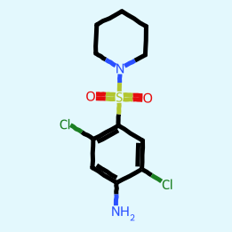 Nc1cc(Cl)c(S(=O)(=O)N2CCCCC2)cc1Cl